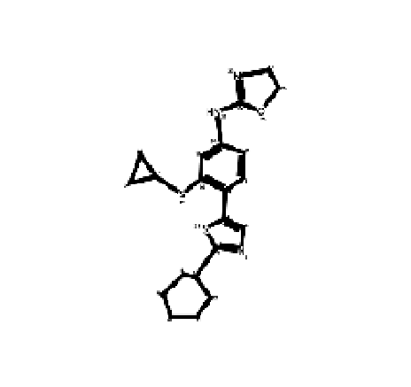 c1cc(-c2cnc(C3CCCCC3)s2)c(SC2CC2)cc1NC1=NCCO1